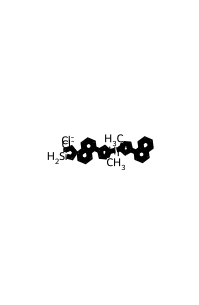 C1CC[SiH2]C1.CC1=[C]([Hf+2][C]2=C(C)C=C(c3cccc4ccccc34)C2)CC(c2cccc3ccccc23)=C1.[Cl-].[Cl-]